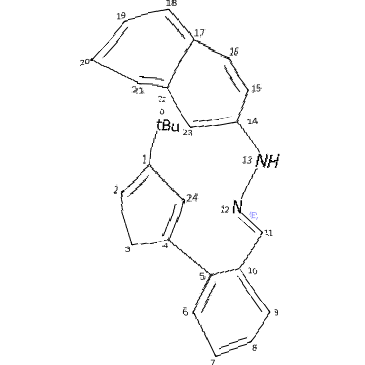 CC(C)(C)C1=CCC(c2ccccc2/C=N/Nc2ccc3ccccc3c2)=C1